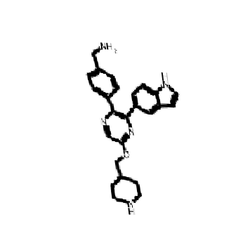 NCc1ccc(-c2ncc(OCC3CCNCC3)nc2-c2ccc3[nH]ccc3c2)cc1